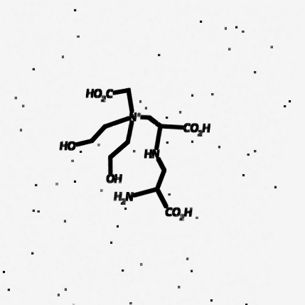 NC(CNC(C[N+](CCO)(CCO)CC(=O)O)C(=O)O)C(=O)O